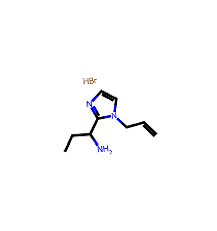 Br.C=CCn1ccnc1C(N)CC